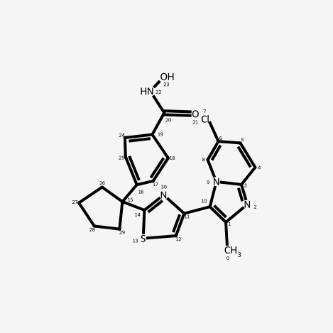 Cc1nc2ccc(Cl)cn2c1-c1csc(C2(c3ccc(C(=O)NO)cc3)CCCC2)n1